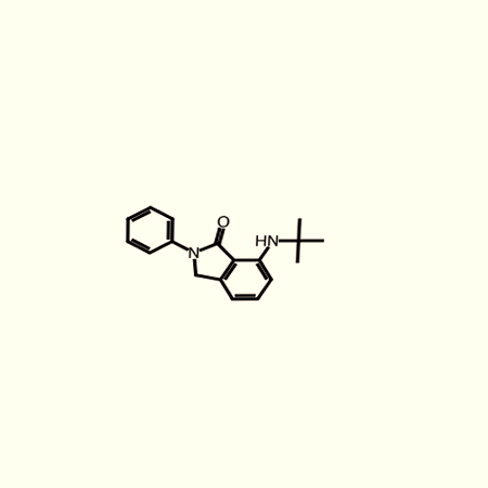 CC(C)(C)Nc1cccc2c1C(=O)N(c1ccccc1)C2